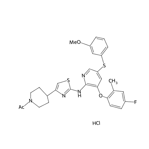 COc1cccc(Sc2cnc(Nc3nc(C4CCN(C(C)=O)CC4)cs3)c(Oc3ccc(F)cc3C)c2)c1.Cl